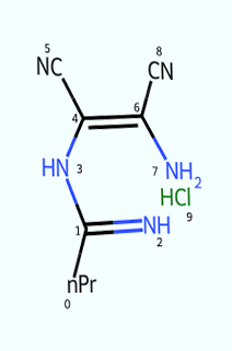 CCCC(=N)NC(C#N)=C(N)C#N.Cl